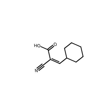 N#CC(=CC1CCCCC1)C(=O)O